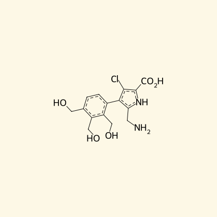 NCc1[nH]c(C(=O)O)c(Cl)c1-c1ccc(CO)c(CO)c1CO